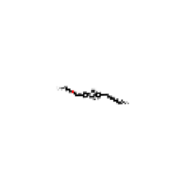 CCCCCCCCCCCCCCCCCCC#Cc1ccc(N=CC(CCCC)=Nc2ccc(C#CCCCCCCCCCCCCCCCCCC)cc2)cc1.[Ni]